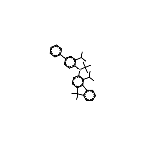 CC(C)c1cc(-c2ccccc2)ccc1N(c1ccc2c(c1C(C)C)-c1ccccc1C2(C)C)C(C)(C)C